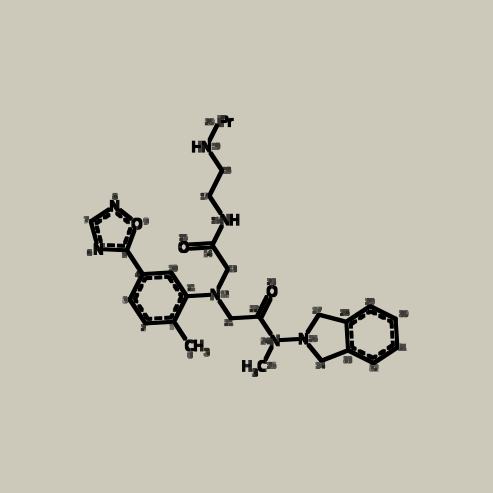 Cc1ccc(-c2ncno2)cc1N(CC(=O)NCCNC(C)C)CC(=O)N(C)N1Cc2ccccc2C1